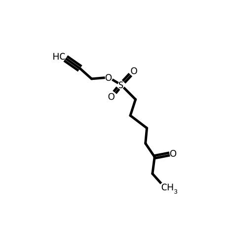 C#CCOS(=O)(=O)CCCCC(=O)CC